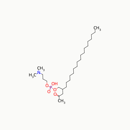 CCCCCCCCCCCCCCCCCCC(COP(=O)(O)OCCCN(C)C)CC(C)=O